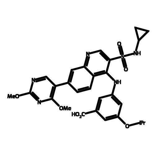 COc1ncc(-c2ccc3c(Nc4cc(OC(C)C)cc(C(=O)O)c4)c(S(=O)(=O)NC4CC4)cnc3c2)c(OC)n1